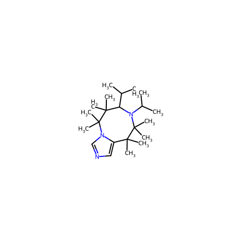 CC(C)C1N(C(C)C)C(C)(C)C(C)(C)c2cncn2C(C)(C)C1(C)C